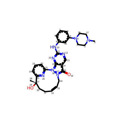 CN1CCN(c2cccc(Nc3ncc4c(=O)n5n(c4n3)-c3cccc(n3)[C@@](C)(O)CC/C=C\C5)c2)CC1